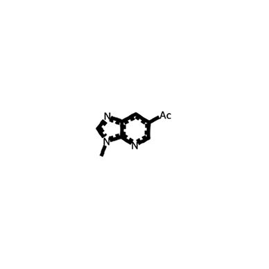 CC(=O)c1cnc2c(c1)ncn2C